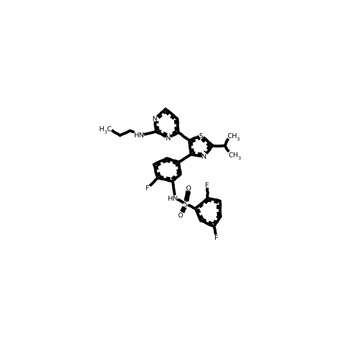 CCCNc1nccc(-c2sc(C(C)C)nc2-c2ccc(F)c(NS(=O)(=O)c3cc(F)ccc3F)c2)n1